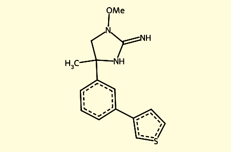 CON1CC(C)(c2cccc(-c3ccsc3)c2)NC1=N